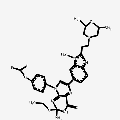 CCOC1(N)N=C2C(=NC(c3ccc4nc(CCN5CC(C)OC(C)C5)n(C)c4c3)=CN2c2ccc(OC(F)F)cc2)C(=O)N1